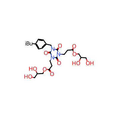 CCC(C)c1ccc(Cn2c(=O)n(CCC(=O)OCC(O)CO)c(=O)n(CCC(=O)OCC(O)CO)c2=O)cc1